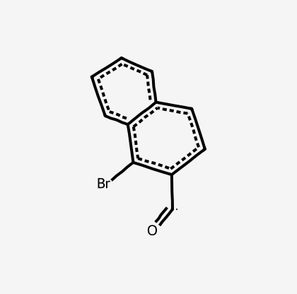 O=[C]c1ccc2ccccc2c1Br